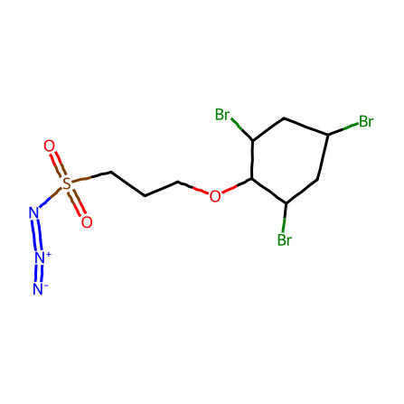 [N-]=[N+]=NS(=O)(=O)CCCOC1C(Br)CC(Br)CC1Br